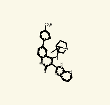 O=C(O)c1ccc(-c2ccc3[nH]c(=O)c(-c4nc5cccnc5[nH]4)c(N[C@H]4CN5CCC4CC5)c3c2)cc1